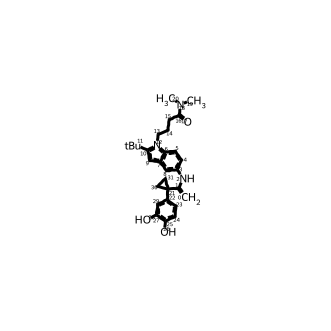 C=C(Nc1ccc2c(c1)cc(C(C)(C)C)n2CCCC(=O)N(C)C)C1(c2ccc(O)c(O)c2)CC1